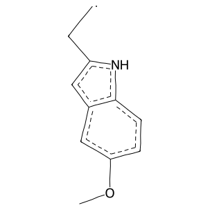 [CH2]Cc1cc2cc(OC)ccc2[nH]1